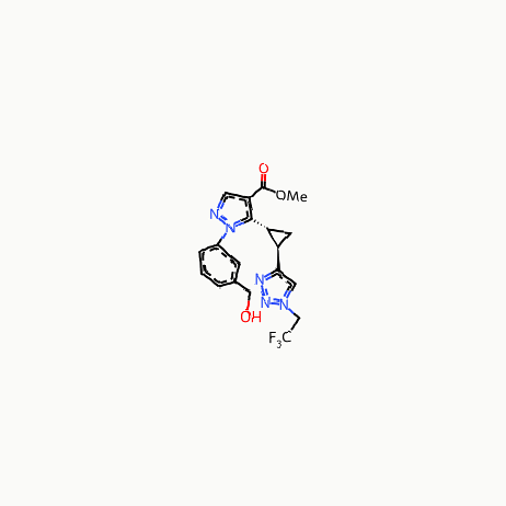 COC(=O)c1cnn(-c2cccc(CO)c2)c1[C@@H]1C[C@H]1c1cn(CC(F)(F)F)nn1